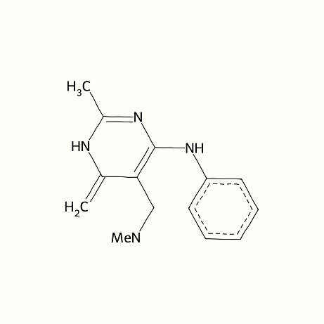 C=C1NC(C)=NC(Nc2ccccc2)=C1CNC